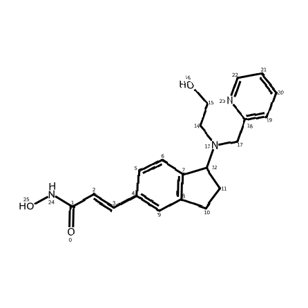 O=C(/C=C/c1ccc2c(c1)CCC2N(CCO)Cc1ccccn1)NO